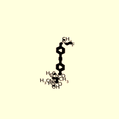 CNC(=O)C(C)(C(=O)NO)N(C)C(=O)c1ccc(C#Cc2ccc(CN(C)CCF)cc2)cc1